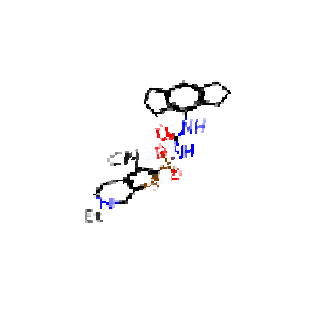 CCN1CCc2c(sc(S(=O)(=O)NC(=O)Nc3c4c(cc5c3CCC5)CCC4)c2C#N)C1